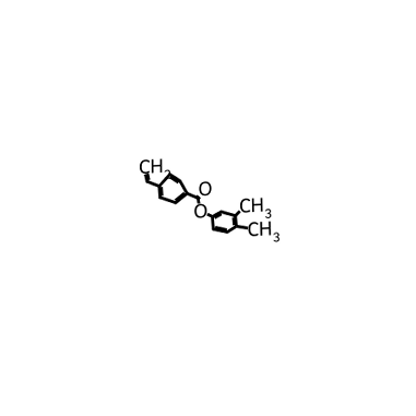 C=Cc1ccc(C(=O)Oc2ccc(C)c(C)c2)cc1